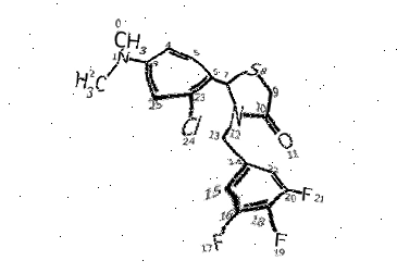 CN(C)c1ccc(C2SCC(=O)N2Cc2cc(F)c(F)c(F)c2)c(Cl)c1